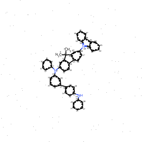 CC1(C)c2cc(N(c3ccccc3)c3cccc(-c4ccc(Nc5ccccc5)cc4)c3)ccc2-c2ccc(-n3c4ccccc4c4ccccc43)cc21